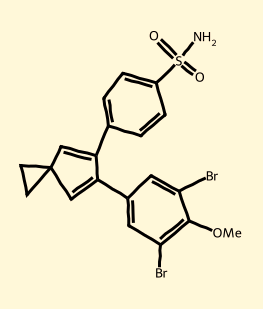 COc1c(Br)cc(C2=CC3(C=C2c2ccc(S(N)(=O)=O)cc2)CC3)cc1Br